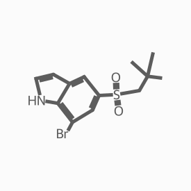 CC(C)(C)CS(=O)(=O)c1cc(Br)c2[nH]ccc2c1